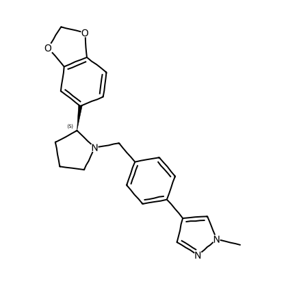 Cn1cc(-c2ccc(CN3CCC[C@H]3c3ccc4c(c3)OCO4)cc2)cn1